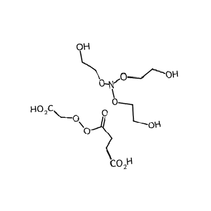 O=C(O)CCC(=O)OOCC(=O)O.OCCON(OCCO)OCCO